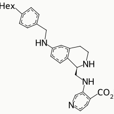 CCCCCCc1ccc(CNc2ccc3c(c2)CCN[C@H]3CNc2cnccc2C(=O)O)cc1